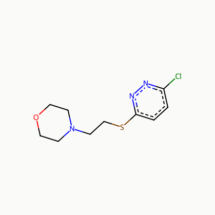 Clc1ccc(SCCN2CCOCC2)nn1